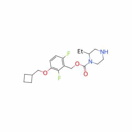 CCC1CNCCN1C(=O)OCc1c(F)ccc(OCC2CCC2)c1F